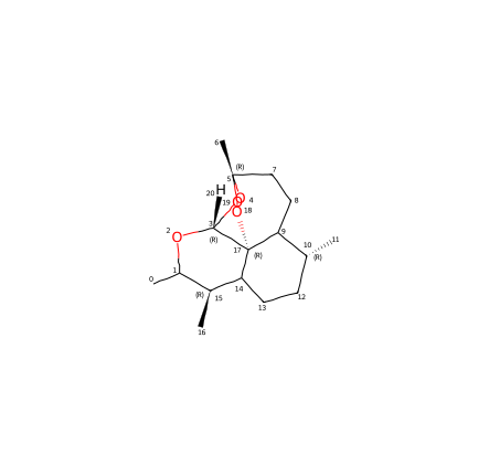 CC1O[C@@H]2O[C@@]3(C)CCC4[C@H](C)CCC([C@H]1C)[C@]42OO3